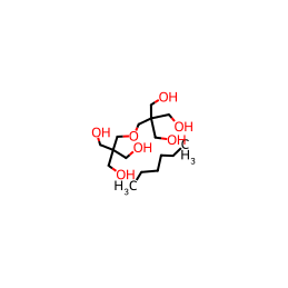 CCCCCC.OCC(CO)(CO)COCC(CO)(CO)CO